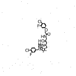 C=CC(C[C@H](O)CNC(=O)COc1ccc(Cl)c(F)c1)NC(=O)NCc1ccc(Cl)c(F)c1